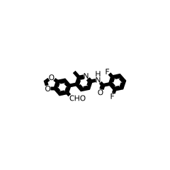 Cc1nc(NC(=O)c2c(F)cccc2F)ccc1-c1cc2c(cc1C=O)OCO2